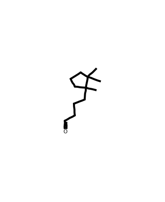 CC1(C)CCCC1(C)CCCC=O